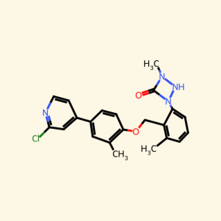 Cc1cc(-c2ccnc(Cl)c2)ccc1OCc1c(C)cccc1-n1[nH]n(C)c1=O